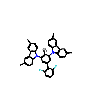 Cc1ccc2c(c1)c1cc(C)ccc1n2-c1cc(-c2c(F)cccc2F)cc(-n2c3ccc(C)cc3c3cc(C)ccc32)c1C(F)(F)F